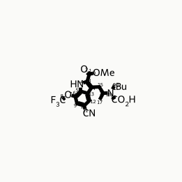 COC(=O)c1[nH]c2c(OC(F)(F)F)cc(C#N)cc2c1CC(C)N(C(=O)O)C(C)(C)C